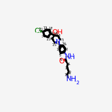 NCCCCC(=O)Nc1ccc(N2CCC(O)(c3ccc(Cl)cc3)CC2)cc1